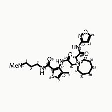 CNCCCNC(=O)c1scc(C)c1NC(=O)C[N+]1(CC(=O)Nc2ccon2)CCCCCC1